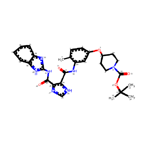 Cc1ccc(OC2CCN(C(=O)OC(C)(C)C)CC2)cc1NC(=O)c1[nH]cnc1C(=O)Nc1nc2ccccc2[nH]1